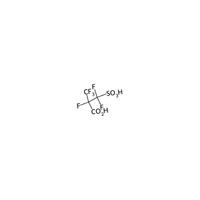 O=C(O)C(F)(C(F)(F)F)C(F)(F)S(=O)(=O)O